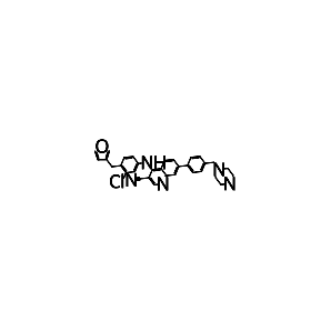 CN1CCN(Cc2ccc(-c3ccc4c(Nc5ccc(Cc6ccoc6)c(Cl)c5)c(C#N)cnc4c3)cc2)CC1